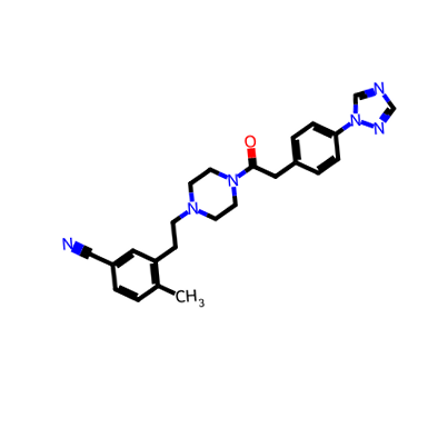 Cc1ccc(C#N)cc1CCN1CCN(C(=O)Cc2ccc(-n3cncn3)cc2)CC1